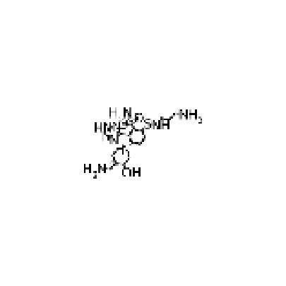 NCCCNSc1ccc(N2CC[C@H](CN)[C@H](O)C2)c(-c2nn[nH]n2)c1S(N)(=O)=O